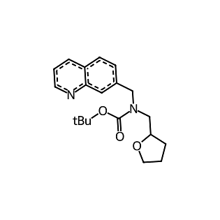 CC(C)(C)OC(=O)N(Cc1ccc2cccnc2c1)CC1CCCO1